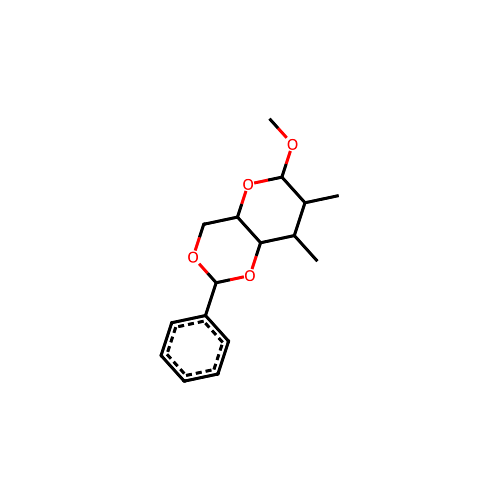 COC1OC2COC(c3ccccc3)OC2C(C)C1C